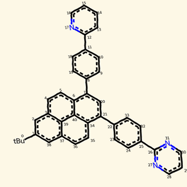 CC(C)(C)c1cc2ccc3c(-c4ccc(-c5ccccn5)cc4)cc(-c4ccc(-c5ncccn5)cc4)c4ccc(c1)c2c34